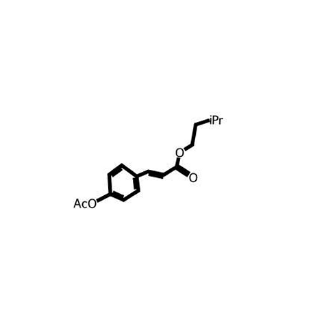 CC(=O)Oc1ccc(C=CC(=O)OCCC(C)C)cc1